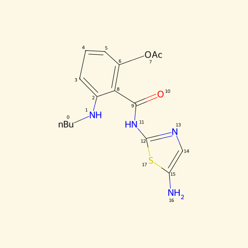 CCCCNc1cccc(OC(C)=O)c1C(=O)Nc1ncc(N)s1